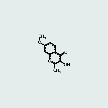 COc1ccc2c(=O)c(O)c(C)oc2c1